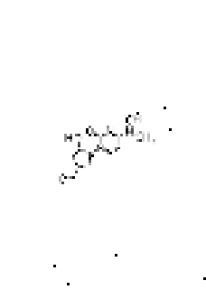 CN(C)c1ccn(C2CC(CO)CC2O)c(=O)n1